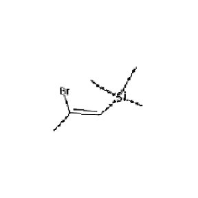 CC(Br)=C[Si](C)(C)C